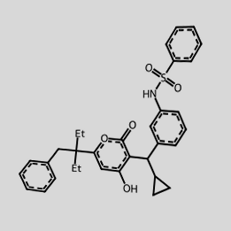 CCC(CC)(Cc1ccccc1)c1cc(O)c(C(c2cccc(NS(=O)(=O)c3ccccc3)c2)C2CC2)c(=O)o1